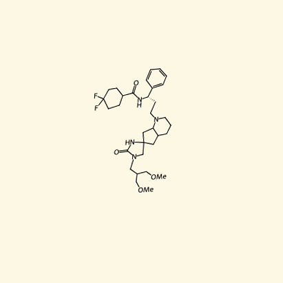 COCC(COC)CN1CC2(CC3CCCN(CC[C@H](NC(=O)C4CCC(F)(F)CC4)c4ccccc4)C3C2)NC1=O